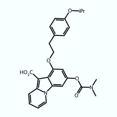 CC(C)Oc1ccc(CCOc2cc(OC(=O)N(C)C)cc3c2c(C(=O)O)c2ccccn23)cc1